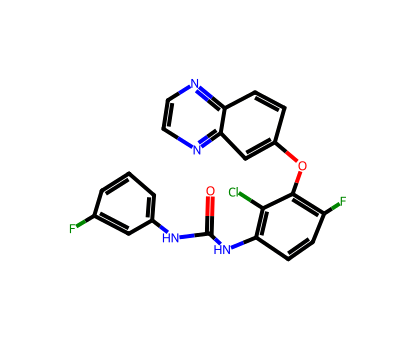 O=C(Nc1cccc(F)c1)Nc1ccc(F)c(Oc2ccc3nccnc3c2)c1Cl